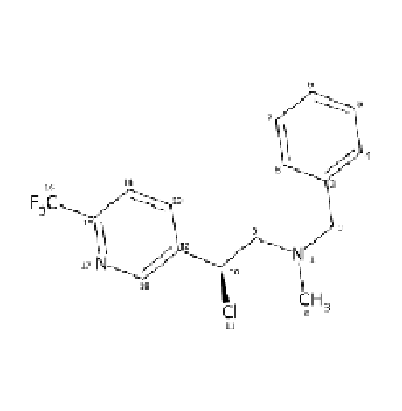 CN(Cc1ccccc1)C[C@@H](Cl)c1ccc(C(F)(F)F)nc1